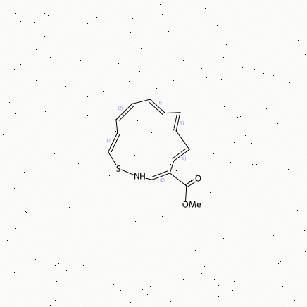 COC(=O)C1=C/NS/C=C/C=C\C=C\C=C\C=C\1